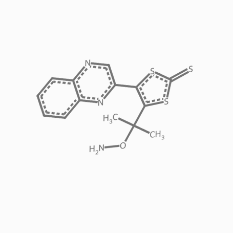 CC(C)(ON)c1sc(=S)sc1-c1cnc2ccccc2n1